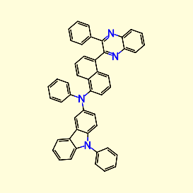 c1ccc(-c2nc3ccccc3nc2-c2cccc3c(N(c4ccccc4)c4ccc5c(c4)c4ccccc4n5-c4ccccc4)cccc23)cc1